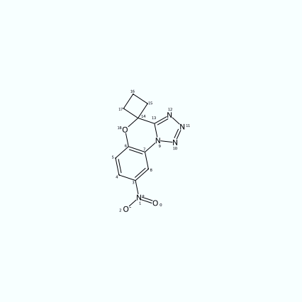 O=[N+]([O-])c1ccc2c(c1)-n1nnnc1C1(CCC1)O2